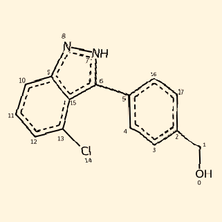 OCc1ccc(-c2[nH]nc3cccc(Cl)c23)cc1